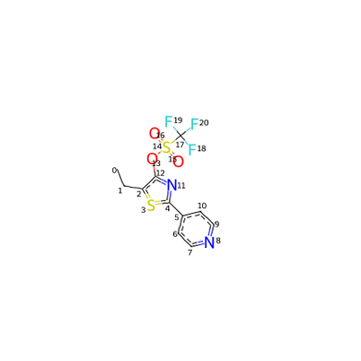 CCc1sc(-c2ccncc2)nc1OS(=O)(=O)C(F)(F)F